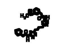 CN(C)Cc1cccc(CC(=O)Nc2nnc(CCCCc3nnc(NC(=O)Cc4ccccc4)s3)s2)c1